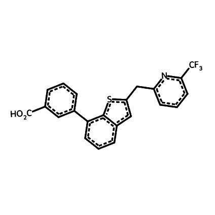 O=C(O)c1cccc(-c2cccc3cc(Cc4cccc(C(F)(F)F)n4)sc23)c1